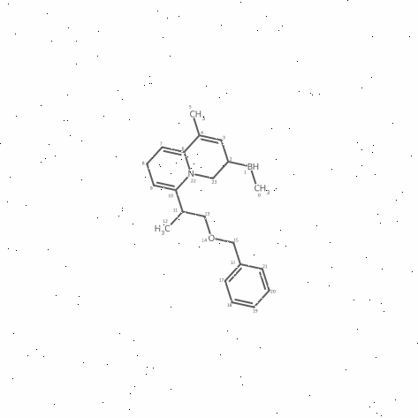 CBC1C=C(C)C2=CCC=C(C(C)COCc3ccccc3)N2C1